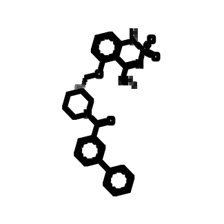 NC1=NS(=O)(=O)Nc2cccc(OC[C@H]3CCCN(C(=O)c4cccc(-c5ccccc5)c4)C3)c21